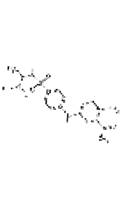 CC(=O)c1cc(Nc2ccc(S(=O)(=O)NC(C)S(=O)O)cc2)ccc1N